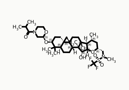 CC(C)C(=O)N1CCO[C@@H](O[C@H]2CC[C@]34C[C@]35CC[C@]3(C)[C@@H]6[C@H](O[C@@H](CN(C)S(=O)(=O)C(F)(F)F)C[C@H]6C)[C@H](O)[C@@]3(C)[C@@H]5CC[C@H]4C2(C)C)C1